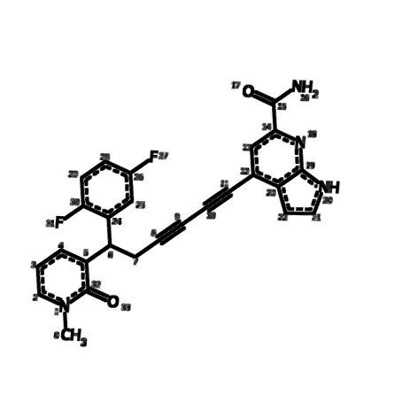 Cn1cccc(C(CC#CC#Cc2cc(C(N)=O)nc3[nH]ccc23)c2cc(F)ccc2F)c1=O